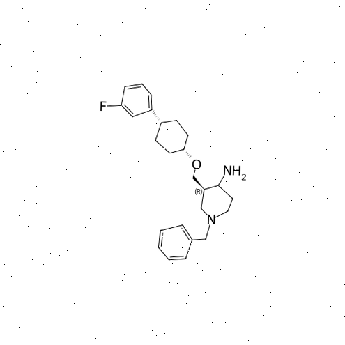 NC1CCN(Cc2ccccc2)C[C@H]1CO[C@H]1CC[C@@H](c2cccc(F)c2)CC1